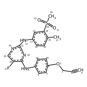 C#CCOc1ccc(Nc2nc(Nc3ccc(C)c(S(C)(=O)=O)c3)ncc2F)cc1